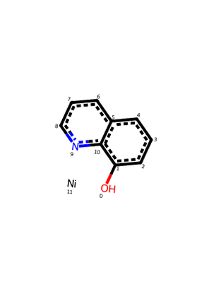 Oc1cccc2cccnc12.[Ni]